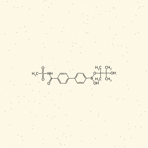 CC(C)(O)C(C)(C)OB(O)c1ccc(-c2ccc(C(=O)NS(C)(=O)=O)cc2)cc1